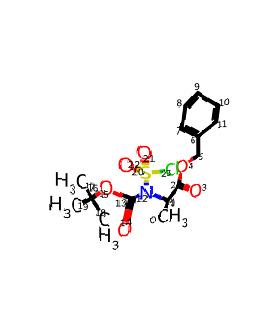 C[C@H](C(=O)OCc1ccccc1)N(C(=O)OC(C)(C)C)S(=O)(=O)Cl